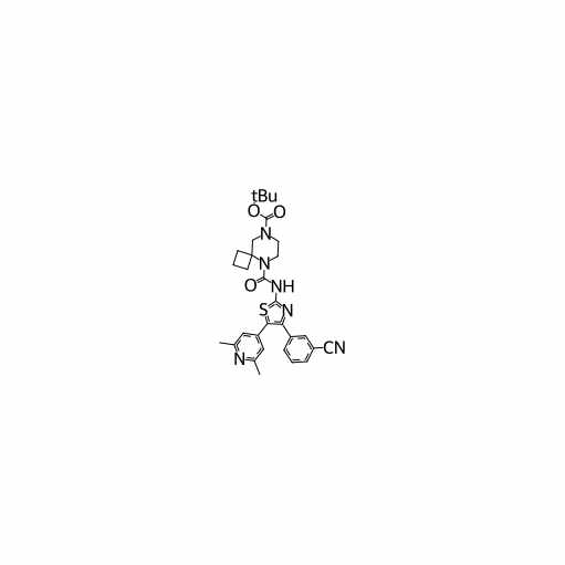 Cc1cc(-c2sc(NC(=O)N3CCN(C(=O)OC(C)(C)C)CC34CCC4)nc2-c2cccc(C#N)c2)cc(C)n1